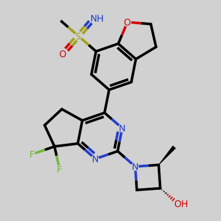 C[C@H]1[C@H](O)CN1c1nc(-c2cc3c(c(S(C)(=N)=O)c2)OCC3)c2c(n1)C(F)(F)CC2